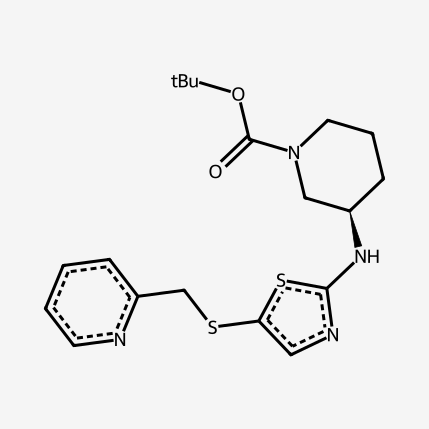 CC(C)(C)OC(=O)N1CCC[C@@H](Nc2ncc(SCc3ccccn3)s2)C1